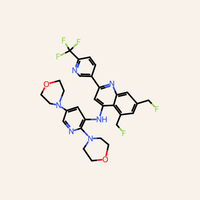 FCc1cc(CF)c2c(Nc3cc(N4CCOCC4)cnc3N3CCOCC3)cc(-c3ccc(C(F)(F)F)nc3)nc2c1